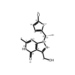 Cc1nc2c(c(CO)nn2[C@@H](C)c2ccc(Cl)s2)c(=O)[nH]1